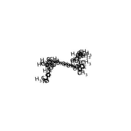 Cc1ncsc1-c1ccc(CNC(=O)[C@@H]2C[C@@H](O)CN2C(=O)[C@@H](NC(=O)COCCOCCOCCNC(=O)O[C@H]2C[C@@H](C)C=C3C=C[C@H](C)[C@H](CC[C@@H]4C[C@@H](O[Si](C)(C)C(C)(C)C)CC(=O)O4)[C@H]32)C(C)(C)C)cc1